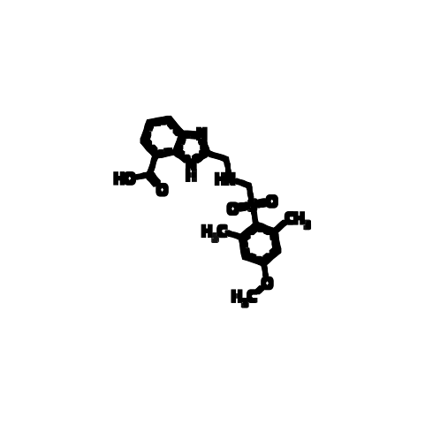 COc1cc(C)c(S(=O)(=O)CNCc2nc3cccc(C(=O)O)c3[nH]2)c(C)c1